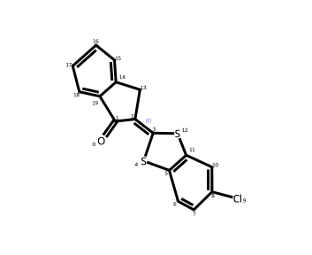 O=C1/C(=C2\Sc3ccc(Cl)cc3S2)Cc2ccccc21